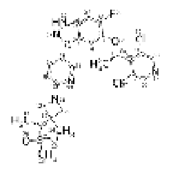 C[C@@H](Oc1cc2c(-c3ccc(N4CC(C)(N(C)S(C)(=O)=O)C4)nc3)n[nH]c2cc1F)c1c(Cl)cncc1Cl